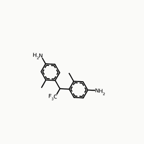 Cc1cc(N)ccc1C(c1ccc(N)cc1C)C(F)(F)F